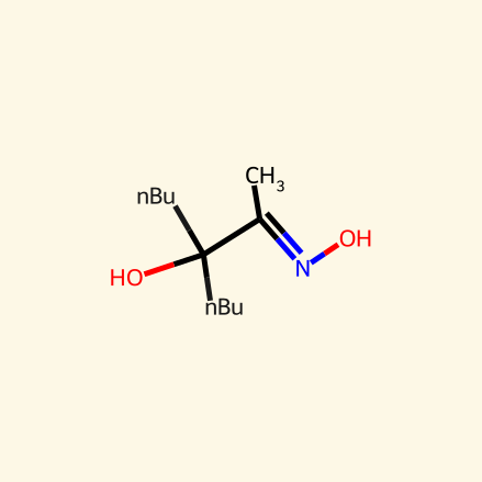 CCCCC(O)(CCCC)/C(C)=N/O